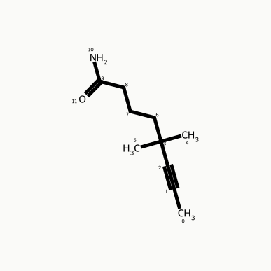 CC#CC(C)(C)CCCC(N)=O